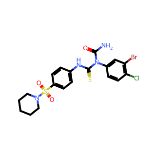 NC(=O)N(C(=S)Nc1ccc(S(=O)(=O)N2CCCCC2)cc1)c1ccc(Cl)c(Br)c1